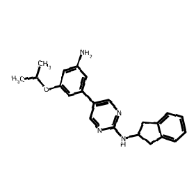 CC(C)Oc1cc(N)cc(-c2cnc(NC3Cc4ccccc4C3)nc2)c1